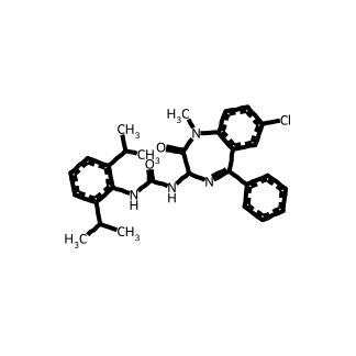 CC(C)c1cccc(C(C)C)c1NC(=O)NC1N=C(c2ccccc2)c2cc(Cl)ccc2N(C)C1=O